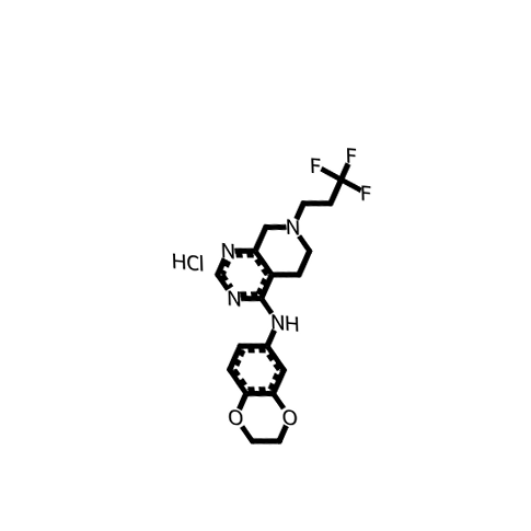 Cl.FC(F)(F)CCN1CCc2c(ncnc2Nc2ccc3c(c2)OCCO3)C1